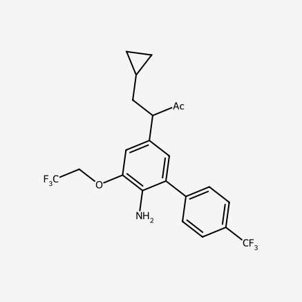 CC(=O)C(CC1CC1)c1cc(OCC(F)(F)F)c(N)c(-c2ccc(C(F)(F)F)cc2)c1